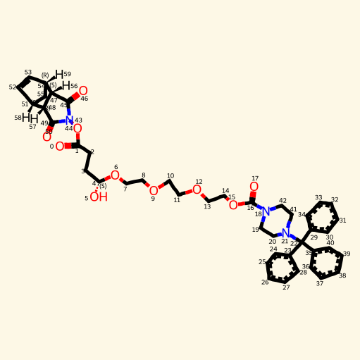 O=C(CC[C@@H](O)OCCOCCOCCOC(=O)N1CCN(C(c2ccccc2)(c2ccccc2)c2ccccc2)CC1)ON1C(=O)[C@@H]2[C@H](C1=O)[C@@H]1C=C[C@H]2C1